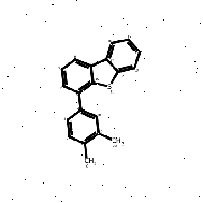 Cc1ccc(-c2cccc3c2sc2ccccc23)cc1C